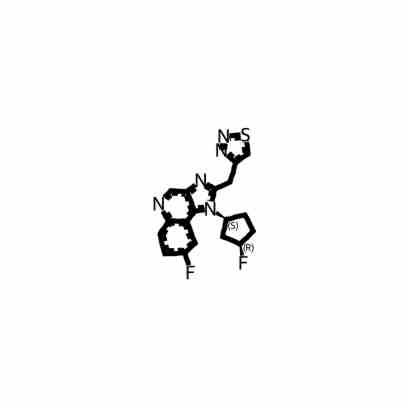 Fc1ccc2ncc3nc(Cc4csnn4)n([C@H]4CC[C@@H](F)C4)c3c2c1